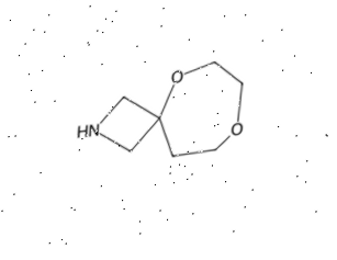 C1COC2(CCO1)CNC2